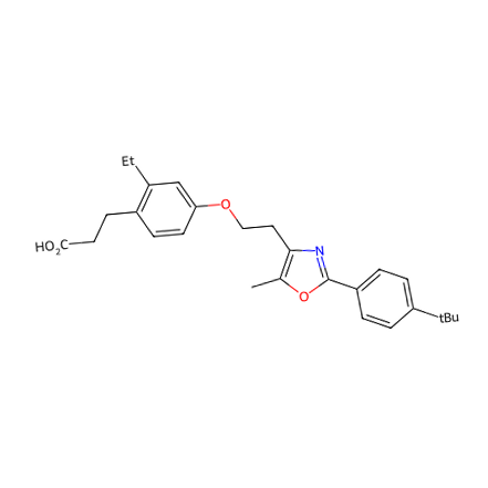 CCc1cc(OCCc2nc(-c3ccc(C(C)(C)C)cc3)oc2C)ccc1CCC(=O)O